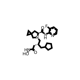 O=C(C[C@@H](CC1CCCC1)CN1CC2(CC2)C[C@H]1C(=O)Nc1ncccc1F)NO